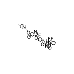 COc1cc2c(Oc3ccc(NC(=O)c4nn(-c5ccccc5C(F)(F)F)c(=O)n4C)cc3F)ccnc2cc1OCCCN1CCC(C)CC1